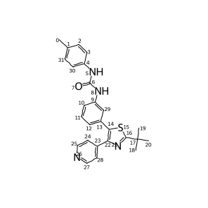 Cc1ccc(NC(=O)Nc2cccc(-c3sc(C(C)(C)C)nc3-c3ccncc3)c2)cc1